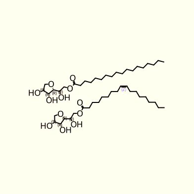 CCCCCCCC/C=C\CCCCCCCC(=O)OC[C@@H](O)[C@H]1OC[C@H](O)[C@H]1O.CCCCCCCCCCCCCCCCCC(=O)OC[C@@H](O)[C@H]1OC[C@H](O)[C@H]1O